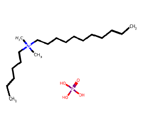 CCCCCCCCCCC[N+](C)(C)CCCCCC.O=P(O)(O)O